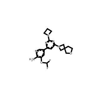 Nc1ncc(-c2cc(N3CC4(CCOC4)C3)nc(N3CCC3)n2)cc1OC(F)F